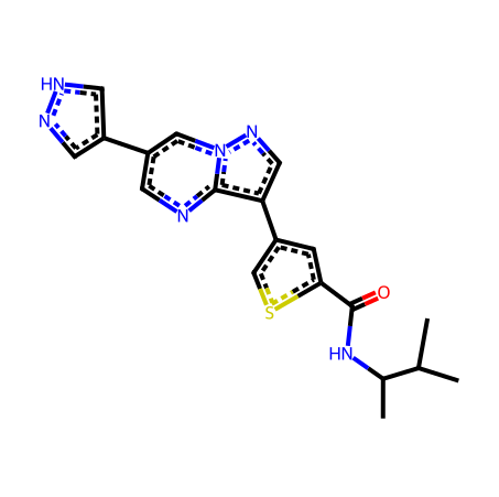 CC(C)C(C)NC(=O)c1cc(-c2cnn3cc(-c4cn[nH]c4)cnc23)cs1